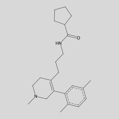 Cc1ccc(C)c(C2=C(CCCNC(=O)C3CCCC3)CCN(C)C2)c1